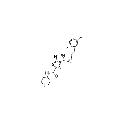 Cc1ccc(F)cc1CC/C=C\c1ncnc2sc(C(=O)NC3CCOCC3)nc12